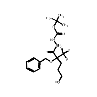 CC(C)(C)OC(=O)NNC(=O)C(CCCO)(OCc1ccccc1)C(F)(F)F